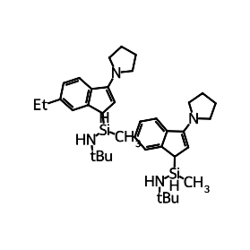 CCc1ccc2c(c1)C([SiH](C)NC(C)(C)C)C=C2N1CCCC1.C[SiH](NC(C)(C)C)C1C=C(N2CCCC2)c2ccccc21